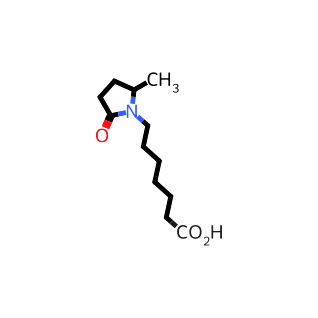 CC1CCC(=O)N1CCCCCCC(=O)O